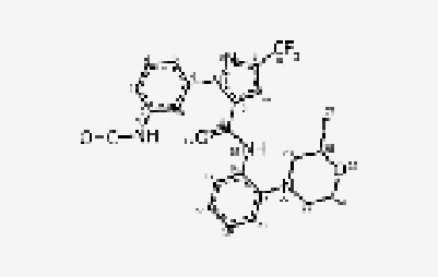 O=CNc1cccc(-n2nc(C(F)(F)F)cc2C(=O)Nc2ccccc2N2CCOC(F)C2)c1